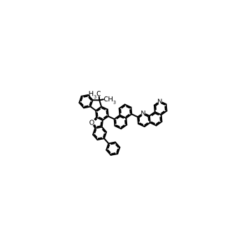 CC1(C)c2ccccc2-c2c1cc(-c1cccc3c(-c4ccc5ccc6ccncc6c5n4)cccc13)c1c2oc2ccc(-c3ccccc3)cc21